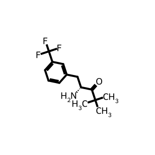 CC(C)(C)C(=O)[C@H](N)Cc1cccc(C(F)(F)F)c1